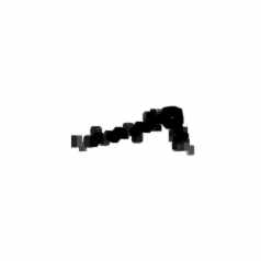 C=CC(=O)OCCCCOC(=O)CCC1=NC(C2=CCCCC(c3noc(C)n3)=C2)NO1